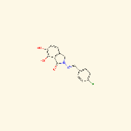 O=C1c2c(ccc(O)c2O)CN1N=Cc1ccc(F)cc1